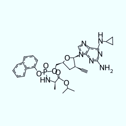 C#C[C@H]1C[C@@H](COP(=O)(N[C@H](C)C(=O)OC(C)C)Oc2cccc3ccccc23)O[C@H]1n1cnc2c(NC3CC3)nc(N)nc21